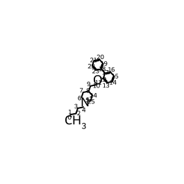 CCCCCN1CCC(CCOc2ccccc2-c2ccccc2)CC1